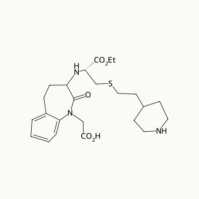 CCOC(=O)[C@H](CSCCC1CCNCC1)NC1CCc2ccccc2N(CC(=O)O)C1=O